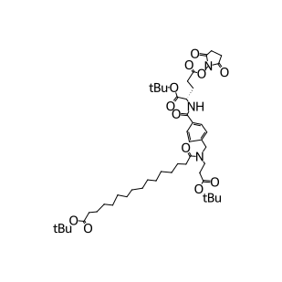 CC(C)(C)OC(=O)CCCCCCCCCCCCCCC(=O)N(CCC(=O)OC(C)(C)C)Cc1ccc(C(=O)N[C@@H](CCC(=O)ON2C(=O)CCC2=O)C(=O)OC(C)(C)C)cc1